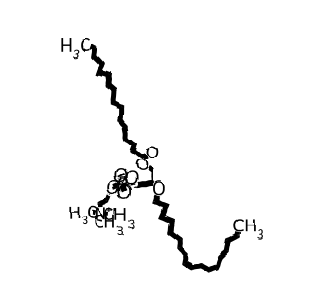 CCCCC/C=C\C/C=C\CCCCCCCCO[C@H](COC(=O)CCCCCCCCCCCCCCC)COP(=O)([O-])OCC[N+](C)(C)C